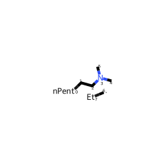 CCCCCCCN(C)C.[CH2]CC